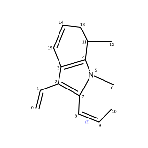 C=Cc1c2c(n(C)c1/C=C\C)C(C)CC=C2